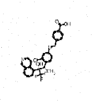 C[C@@H](c1ccc(OCc2ccc(C(=O)O)cc2)cc1Cl)[C@](O)(c1cccc2cnccc12)C(F)(F)F